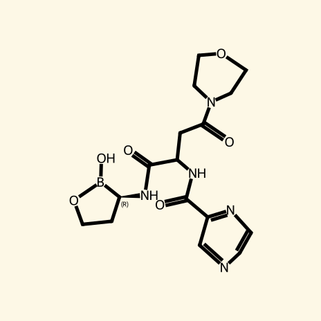 O=C(NC(CC(=O)N1CCOCC1)C(=O)N[C@H]1CCOB1O)c1cnccn1